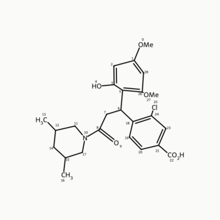 COc1cc(O)c(C(CC(=O)N2CC(C)CC(C)C2)c2ccc(C(=O)O)cc2Cl)c(OC)c1